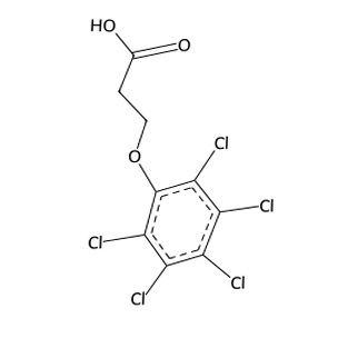 O=C(O)CCOc1c(Cl)c(Cl)c(Cl)c(Cl)c1Cl